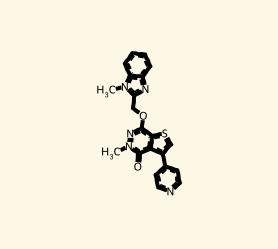 Cn1nc(OCc2nc3ccccc3n2C)c2scc(-c3ccncc3)c2c1=O